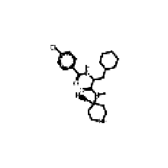 CN(C(=O)C(CC1CCCCC1)NC(=O)c1ccc(Cl)cc1)C1(C#N)CCNCC1